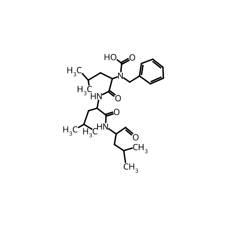 CC(C)CC(C=O)NC(=O)C(CC(C)C)NC(=O)C(CC(C)C)N(Cc1ccccc1)C(=O)O